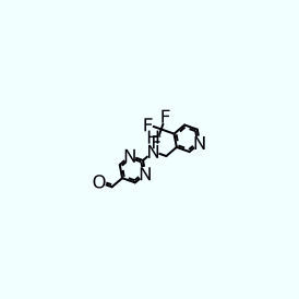 O=Cc1cnc(NCc2cnccc2C(F)(F)F)nc1